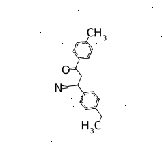 CCc1ccc(C(C#N)CC(=O)c2ccc(C)cc2)cc1